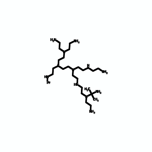 CC(C)NCCN(CCN(CCN)CCN)CCN(CCNCCN)CCNCCN(CCN)C(C)(C)N